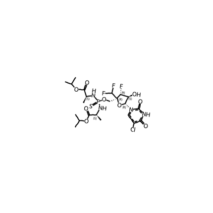 CC(C)OC(=O)[C@H](C)NP(=S)(N[C@@H](C)C(=O)OC(C)C)OC[C@@]1(C(F)F)O[C@@H](n2cc(Cl)c(=O)[nH]c2=O)[C@H](O)[C@H]1F